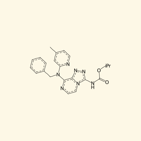 Cc1ccnc(N(Cc2ccccc2)c2nccn3c(NC(=O)OC(C)C)nnc23)c1